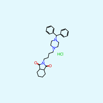 Cl.O=C1C2CCCCC2C(=O)N1CCCCN1CCN(C(c2ccccc2)c2ccccc2)CC1